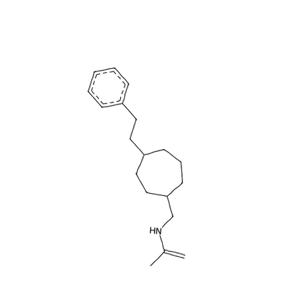 C=C(C)NCC1CCCC(CCc2ccccc2)CC1